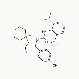 COCC1(CN(Cc2ccc(O)cc2)C(=O)Nc2c(C(C)C)cccc2C(C)C)CCCCC1